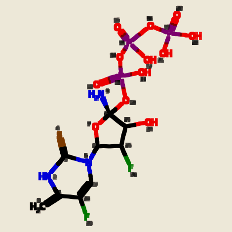 C=C1NC(=S)N(C2O[C@](N)(OP(=O)(O)OP(=O)(O)OP(=O)(O)O)C(O)C2F)C=C1F